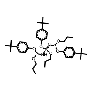 CCCOP(N=P(NP(OCCC)Oc1ccc(C(C)(C)C)cc1)(OCCC)Oc1ccc(C(C)(C)C)cc1)Oc1ccc(C(C)(C)C)cc1